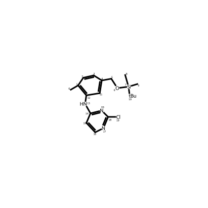 Cc1ccc(CO[Si](C)(C)C(C)(C)C)cc1Nc1ccnc(Cl)n1